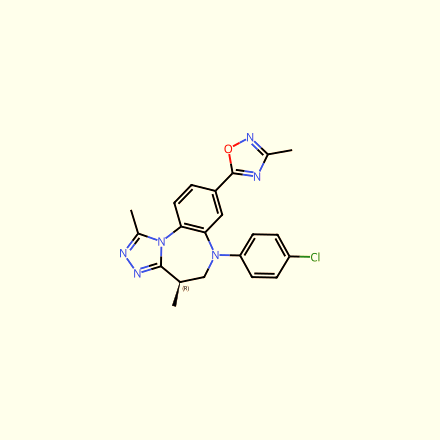 Cc1noc(-c2ccc3c(c2)N(c2ccc(Cl)cc2)C[C@@H](C)c2nnc(C)n2-3)n1